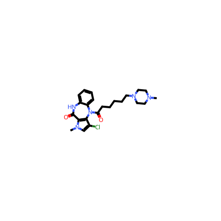 CN1CCN(CCCCCC(=O)N2c3ccccc3NC(=O)c3c2c(Cl)cn3C)CC1